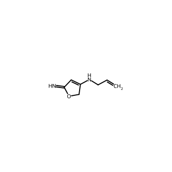 C=CCNC1=CC(=N)OC1